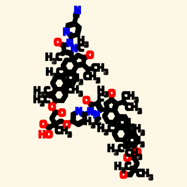 Cc1c(C23CC[C@]4(C)C(CCC5C6(C)CCC(OC(=O)CC(C)(COc7ccc(-n8c(=O)c(C)c(C9%10CC[C@]%11(C)C(CC[C@]%12(C)C%13(C)CCC(OC(=O)CC(C)(C)C=O)C(C)(C)C%13CCC%12%11C)C9=C(C(C)C)C(=O)C%10)n8C)nc7)C(=O)O)C(C)(C)C6CCC54C)C2=C(C(C)C)C(=O)C3)n(C)n(-c2ccc(C#N)cn2)c1=O